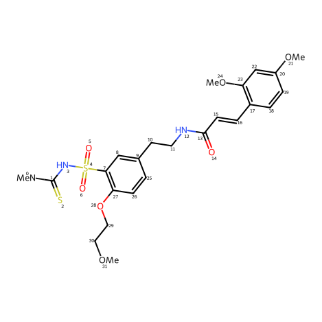 CNC(=S)NS(=O)(=O)c1cc(CCNC(=O)C=Cc2ccc(OC)cc2OC)ccc1OCCOC